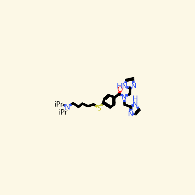 CC(C)N(CCCCCSc1ccc(C(=O)N(Cc2ncc[nH]2)Cc2ncc[nH]2)cc1)C(C)C